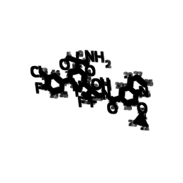 C[C@]1(C(N)=O)COc2c1cc(C(O)(CNC(=O)c1cc(OC3CC3)c3ncccc3c1)C(F)(F)F)nc2-c1ccc(F)c(Cl)c1